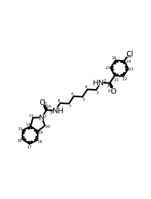 O=C(NCCCCCCNC(=O)N1Cc2ccccc2C1)c1ccc(Cl)cc1